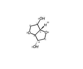 OC1COC2[C@H]1OC[C@@H]2O